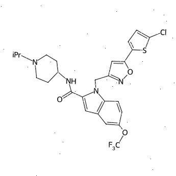 CC(C)N1CCC(NC(=O)c2cc3cc(OC(F)(F)F)ccc3n2Cc2cc(-c3ccc(Cl)s3)on2)CC1